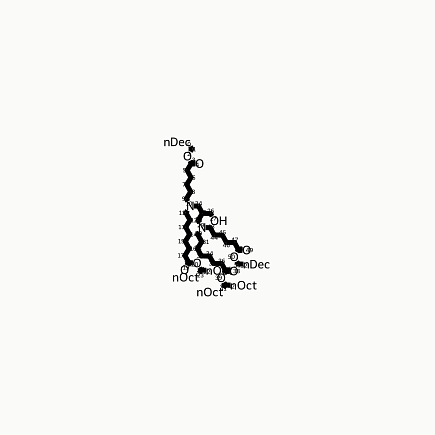 CCCCCCCCCCCOC(=O)CCCCCN(CCCCCCCC(=O)OC(CCCCCCCC)CCCCCCCC)CC(CO)CN(CCCCCCCC(=O)OC(CCCCCCCC)CCCCCCCC)CCCCCC(=O)OCCCCCCCCCCC